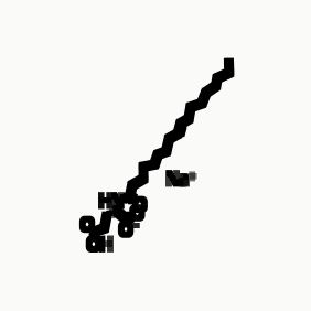 CCCCCCCCC=CCCCCCCCC(=O)N[C@@H](CCC(=O)O)C(=O)[O-].[Na+]